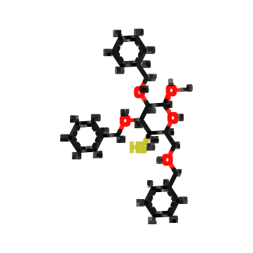 CO[C@H]1OC(COCc2ccccc2)[C@@H](S)C(OCc2ccccc2)C1OCc1ccccc1